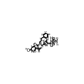 COc1ccc(C2(C(=O)N(CCCc3ccccc3)Cc3nc(C(=O)NS(=O)(=O)N(C)C)c(C)s3)CC2)cn1